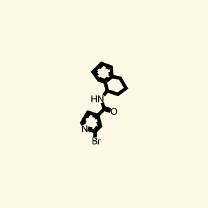 O=C(NC1CCCc2ccccc21)c1ccnc(Br)c1